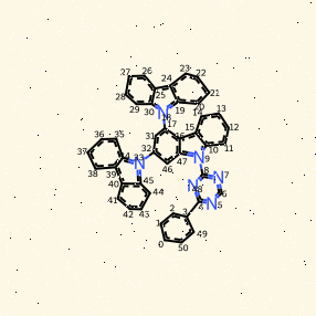 c1ccc(-c2ncnc(-n3c4ccccc4c4c(-n5c6ccccc6c6ccccc65)cc(-n5c6ccccc6c6ccccc65)cc43)n2)cc1